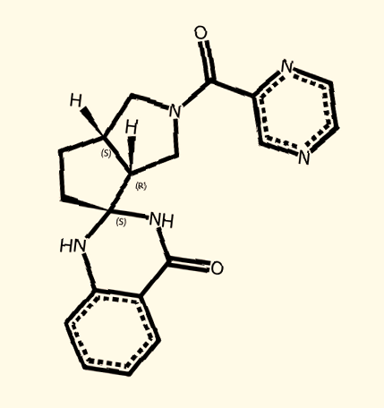 O=C1N[C@]2(CC[C@@H]3CN(C(=O)c4cnccn4)C[C@@H]32)Nc2ccccc21